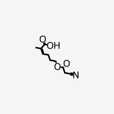 CC(=CCCCOC(=O)CC#N)C(=O)O